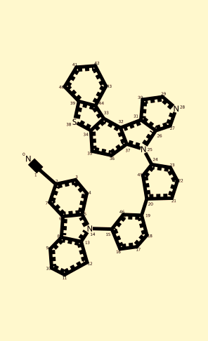 N#Cc1ccc2c(c1)c1ccccc1n2-c1cccc(-c2cccc(-n3c4cnccc4c4c5c(ccc43)sc3ccccc35)c2)c1